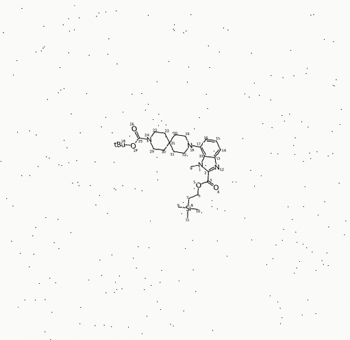 Cn1c(C(=O)OCC[Si](C)(C)C)nc2cccc(N3CCC4(CCN(C(=O)OC(C)(C)C)CC4)CC3)c21